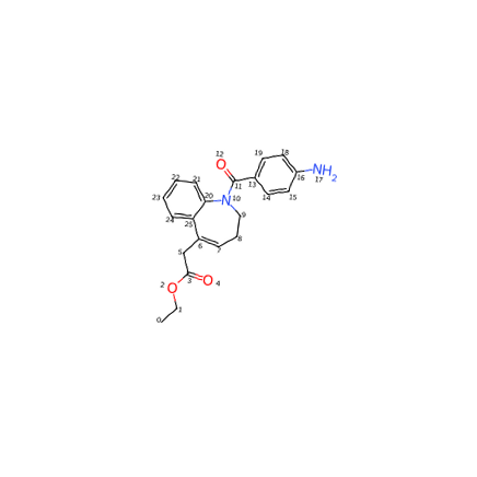 CCOC(=O)CC1=CCCN(C(=O)c2ccc(N)cc2)c2ccccc21